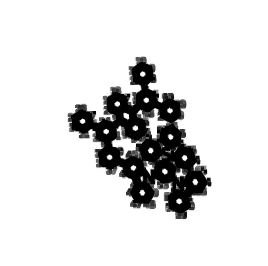 c1ccc(-c2cc(-c3ccccc3)cc(-c3c4ccccc4c(-c4cc(-c5ccccc5)cc(-c5cccc(-c6ccc7c(c6)c6ccccc6n7-c6cc(-n7c8ccccc8c8ccccc87)cc([Si](c7ccccc7)(c7ccccc7)c7ccccc7)c6)c5)c4)c4ccccc34)c2)cc1